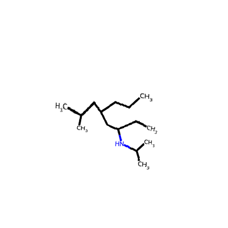 CCCC(CC(C)C)CC(CC)NC(C)C